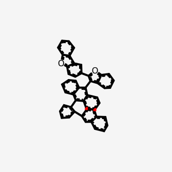 c1ccc(-c2c3ccccc3c(-c3c(-c4ccc5oc6ccccc6c5c4)oc4ccccc34)c3ccccc23)c(-c2ccc3ccccc3c2)c1